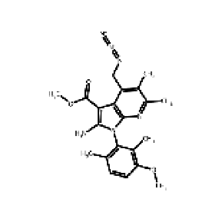 COC(=O)c1c(N)n(-c2c(C)ccc(OC)c2C)c2nc(C)c(C)c(CN=[N+]=[N-])c12